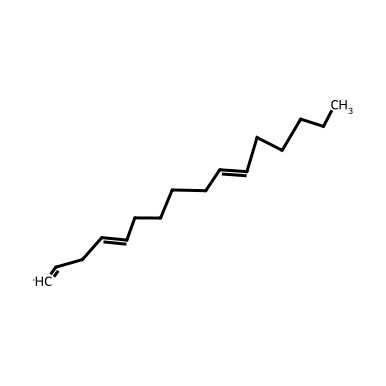 [CH]=CCC=CCCCCC=CCCCCC